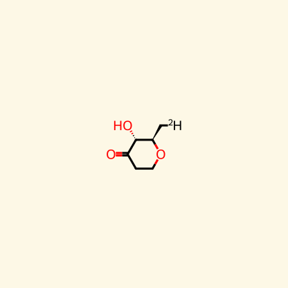 [2H]C[C@H]1OCCC(=O)[C@@H]1O